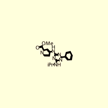 COC(=O)c1cc(Nc2nc(NC(C)C)nc(-c3ccccc3)n2)ccn1